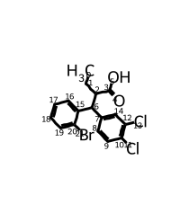 CCC(C(=O)O)C(c1ccc(Cl)c(Cl)c1)c1ccccc1Br